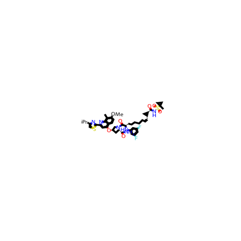 COc1ccc2c(O[C@@H]3C[C@@H](C(N)=O)N(C(=O)[C@H](CCCCC/C=C\[C@@H]4C[C@@H]4C(=O)NS(=O)(=O)C4(C)CC4)Nc4cc(F)cc(F)c4)C3)cc(-c3nc(C(C)C)cs3)nc2c1C